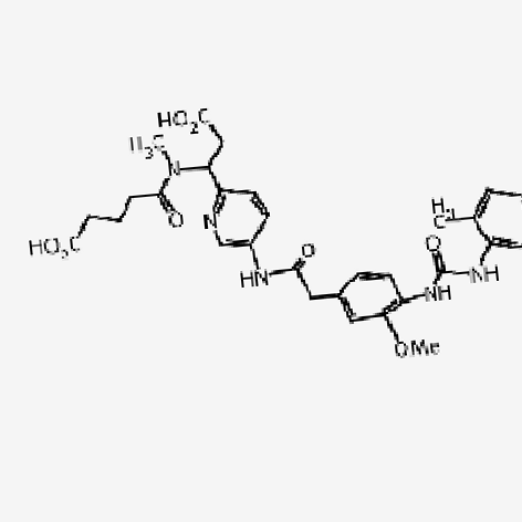 COc1cc(CC(=O)Nc2ccc(C(CC(=O)O)N(C)C(=O)CCCC(=O)O)nc2)ccc1NC(=O)Nc1ccccc1C